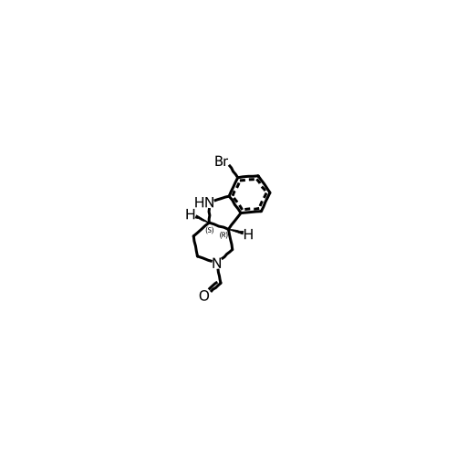 O=CN1CC[C@@H]2Nc3c(Br)cccc3[C@@H]2C1